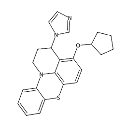 c1ccc2c(c1)Sc1ccc(OC3CCCC3)c3c1N2CCC3n1ccnc1